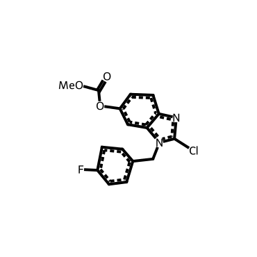 COC(=O)Oc1ccc2nc(Cl)n(Cc3ccc(F)cc3)c2c1